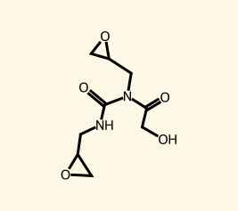 O=C(CO)N(CC1CO1)C(=O)NCC1CO1